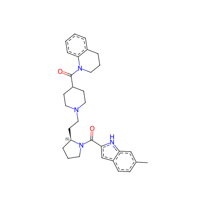 Cc1ccc2cc(C(=O)N3CCC[C@H]3CCN3CCC(C(=O)N4CCCc5ccccc54)CC3)[nH]c2c1